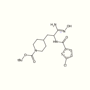 CC(C)(C)OC(=O)N1CCC(CC(NC(=O)c2ccc(Cl)s2)/C(N)=N/O)CC1